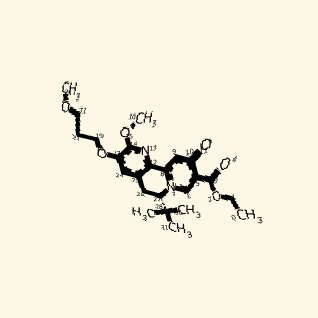 CCOC(=O)c1cn2c(cc1=O)-c1nc(OC)c(OCCCOC)cc1C[C@H]2C(C)(C)C